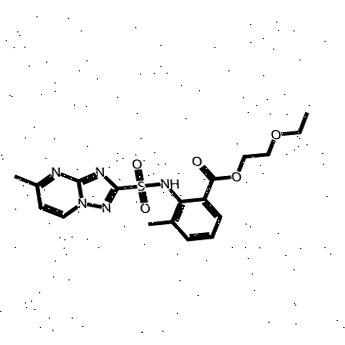 CCOCCOC(=O)c1cccc(C)c1NS(=O)(=O)c1nc2nc(C)ccn2n1